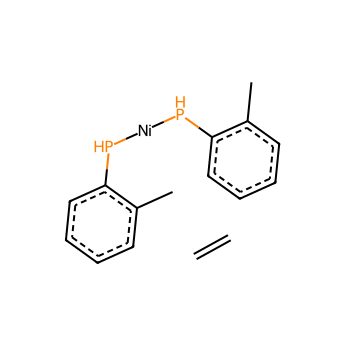 C=C.Cc1ccccc1[PH][Ni][PH]c1ccccc1C